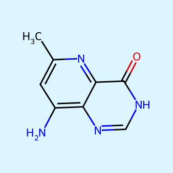 Cc1cc(N)c2nc[nH]c(=O)c2n1